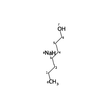 CCCCCCCO.[NaH]